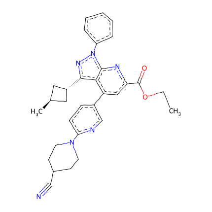 CCOC(=O)c1cc(-c2ccc(N3CCC(C#N)CC3)nc2)c2c(n1)n(-c1ccccc1)nc2[C@H]1C[C@H](C)C1